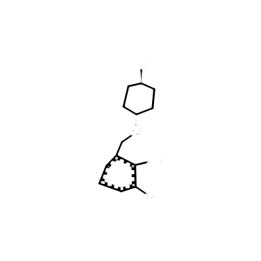 Oc1c(Br)cccc1CN[C@H]1CC[C@H](O)CC1